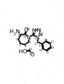 N[C@H]1CCCCN(c2nnnn2Cc2ccccc2)C1=O.O=CO